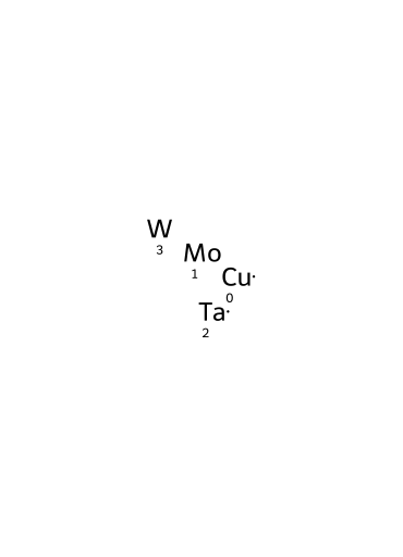 [Cu].[Mo].[Ta].[W]